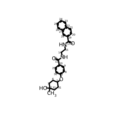 CC1(O)CCC(Oc2ccc(C(=O)NCCNC(=O)c3ccc4ccccc4c3)cc2)CC1